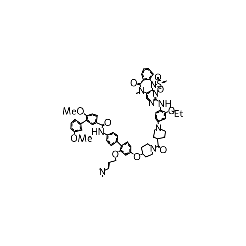 CCOc1cc(N2CCC(C(=O)N3CCC(Oc4ccc(-c5ccc(NC(=O)c6ccc(OC)c(-c7cccc(OC)c7)c6)cc5)c(OCCCN(C)C)c4)CC3)CC2)ccc1Nc1ncc2c(n1)N(S(C)(=O)=O)c1ccccc1C(=O)N2C